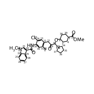 COC(=O)C1CCC(OC(C(=O)Cc2cc(Cl)c(NC(=O)c3cn(C)c4ccccc34)cc2F)N2CCCC2)CC1